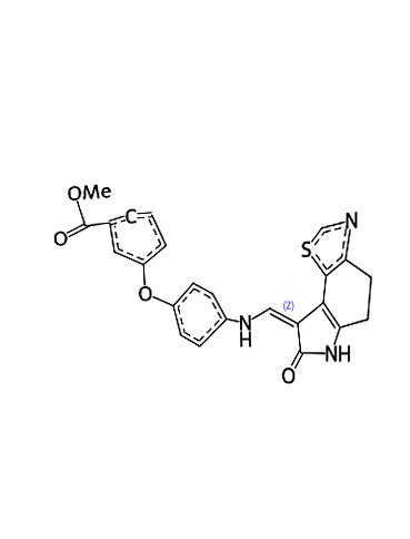 COC(=O)c1cccc(Oc2ccc(N/C=C3\C(=O)NC4=C3c3scnc3CC4)cc2)c1